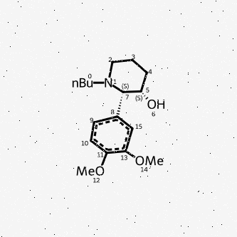 CCCCN1CCC[C@H](O)[C@@H]1c1ccc(OC)c(OC)c1